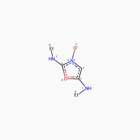 CCNc1c[n+]([O-])c(NCC)o1